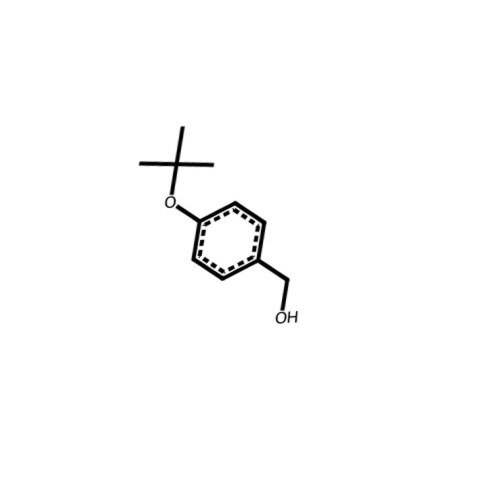 CC(C)(C)Oc1ccc(CO)cc1